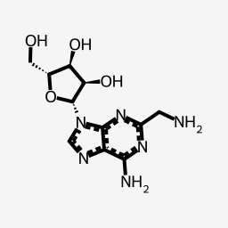 NCc1nc(N)c2ncn([C@@H]3O[C@H](CO)[C@@H](O)[C@H]3O)c2n1